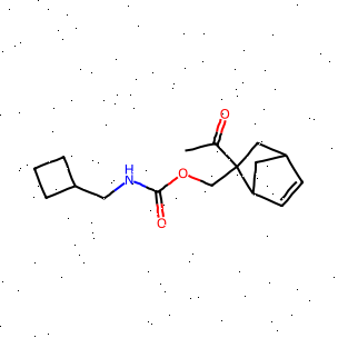 CC(=O)C1(COC(=O)NCC2CCC2)CC2C=CC1C2